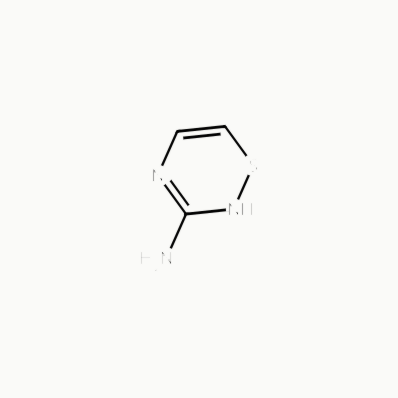 NC1=NC=CSN1